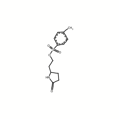 Cc1ccc(S(=O)(=O)OCCC2CCC(=O)N2)cc1